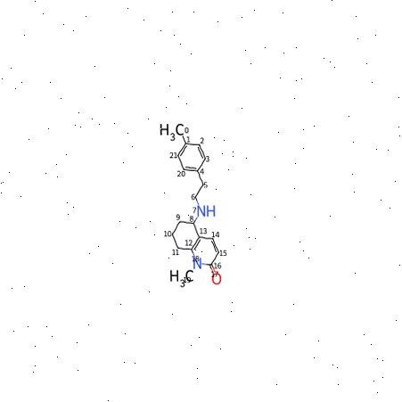 Cc1ccc(CCNC2CCCc3c2ccc(=O)n3C)cc1